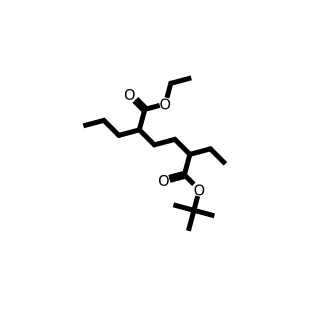 CCCC(CCC(CC)C(=O)OC(C)(C)C)C(=O)OCC